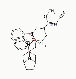 CO/C(=N\C#N)N1CCC(CCN2C3CCC2CC(n2c(C)nc4ccccc42)C3)(c2ccccc2)CC1